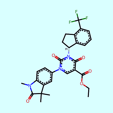 CCOC(=O)c1cn(-c2ccc3c(c2)C(C)(C)C(=O)N3C)c(=O)n([C@@H]2CCc3c2cccc3C(F)(F)F)c1=O